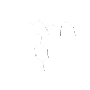 Cc1cc([N]C2CCCCC2)nc(-c2ccc(Br)cc2)n1